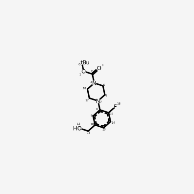 CC(C)(C)OC(=O)N1CCN(c2cc(CO)ccc2F)CC1